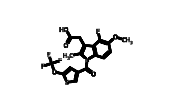 COc1ccc2c(c1F)c(CC(=O)O)c(C)n2C(=O)c1csc(OC(F)(F)F)c1